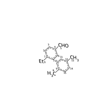 CCc1ccc(C=O)cc1.Cc1ccc(C)cc1